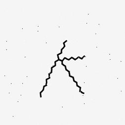 CCCCCCCCCCCC[C](CCCCCC)C(CCCCCCC)CCCCCCCCCCCC